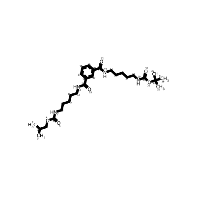 CC(C)COC(=O)NCCCCCNC(=O)c1cccc(C(=O)NCCCCCNC(=O)OC(C)(C)C)c1